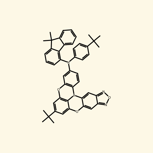 CC(C)(C)c1ccc(N(c2ccc3c(c2)Oc2cc(C(C)(C)C)cc4c2B3c2cc3nonc3cc2O4)c2cccc3c2-c2ccccc2C3(C)C)cc1